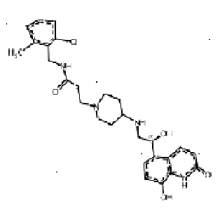 Cc1cccc(Cl)c1CNC(=O)CCN1CCC(NC[C@@H](O)c2ccc(O)c3[nH]c(=O)ccc23)CC1